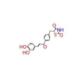 O=C1NC(=O)C(Cc2ccc(C(=O)/C=C/c3ccc(O)c(O)c3)cc2)S1